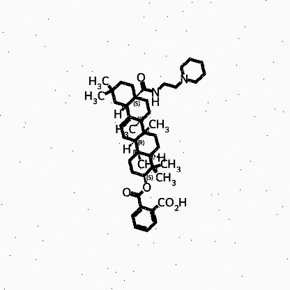 CC1(C)CC[C@]2(C(=O)NCCN3CCCCC3)CC[C@]3(C)C(=CC[C@@H]4[C@@]5(C)CC[C@H](OC(=O)c6ccccc6C(=O)O)C(C)(C)[C@@H]5CC[C@]43C)[C@@H]2C1